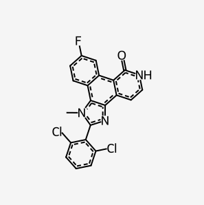 Cn1c(-c2c(Cl)cccc2Cl)nc2c3cc[nH]c(=O)c3c3cc(F)ccc3c21